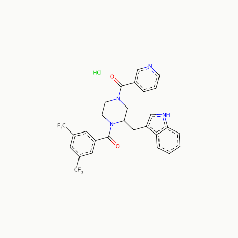 Cl.O=C(c1cccnc1)N1CCN(C(=O)c2cc(C(F)(F)F)cc(C(F)(F)F)c2)C(Cc2c[nH]c3ccccc23)C1